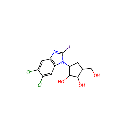 OCC1CC(n2c(I)nc3cc(Cl)c(Cl)cc32)C(O)C1O